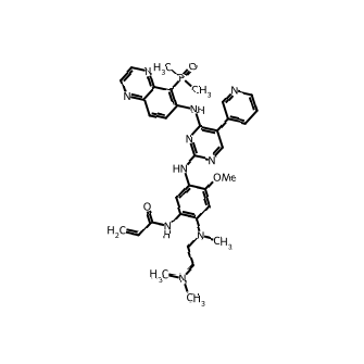 C=CC(=O)Nc1cc(Nc2ncc(-c3cccnc3)c(Nc3ccc4nccnc4c3P(C)(C)=O)n2)c(OC)cc1N(C)CCN(C)C